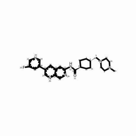 CN1CCN(C[C@H]2CC[C@H](C(=O)Nc3cc4cc(-c5cncc(F)c5)cnc4cn3)CC2)CC1